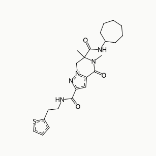 CN1C(=O)c2cc(C(=O)NCCc3cccs3)nn2CC1(C)C(=O)NC1CCCCCC1